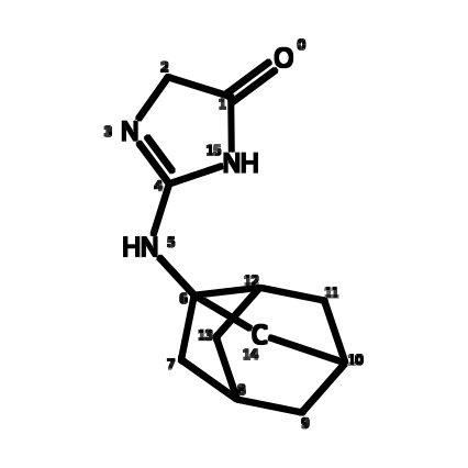 O=C1CN=C(NC23CC4CC(CC2C4)C3)N1